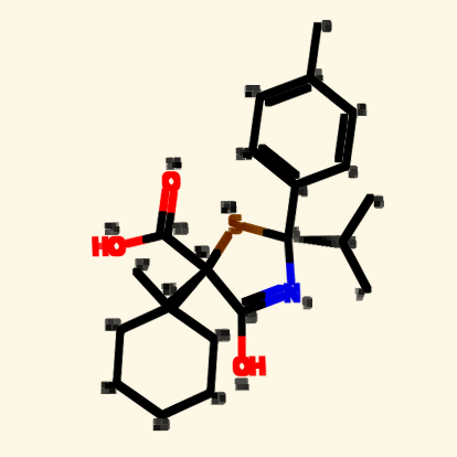 Cc1ccc([C@@]2(C(C)C)N=C(O)[C@@](C(=O)O)(C3(C)CCCCC3)S2)cc1